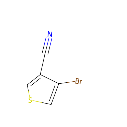 N#Cc1cscc1Br